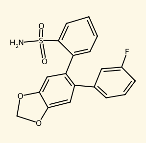 NS(=O)(=O)c1ccccc1-c1cc2c(cc1-c1cccc(F)c1)OCO2